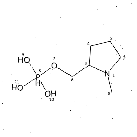 CN1CCCC1CO[PH](O)(O)O